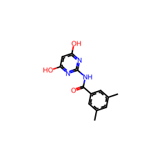 Cc1cc(C)cc(C(=O)Nc2nc(O)cc(O)n2)c1